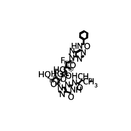 CC(C)C(=O)Nc1nc2c(ncn2[C@@H]2O[C@H](CO)[C@@H](F)[C@H]2OP(O)(=S)OC[C@H]2O[C@@H](n3cnc4c(NC(=O)c5ccccc5)ncnc43)[C@@H](F)[C@@H]2O)c(=O)[nH]1